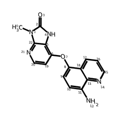 Cn1c(=O)[nH]c2c(Oc3ccc(N)c4ncccc34)ccnc21